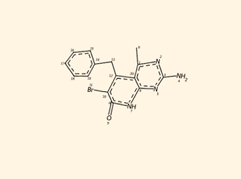 Cc1nc(N)nc2[nH]c(=O)c(Br)c(Cc3ccccc3)c12